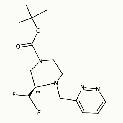 CC(C)(C)OC(=O)N1CCN(Cc2cccnn2)[C@@H](C(F)F)C1